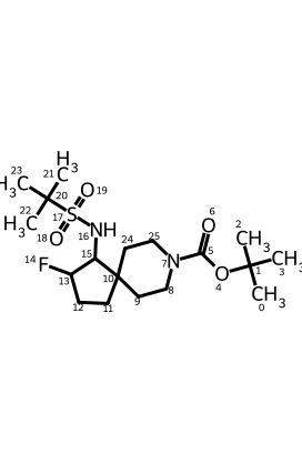 CC(C)(C)OC(=O)N1CCC2(CCC(F)C2NS(=O)(=O)C(C)(C)C)CC1